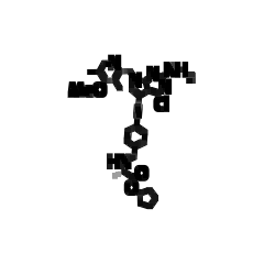 COc1c(C)cnc(Cn2cc(C#Cc3ccc(CN[C@@H](C)C(=O)OC4CCCC4)cc3)c3c(Cl)nc(N)nc32)c1C